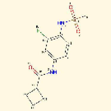 CS(=O)(=O)Nc1ccc(NC(=O)C2CCC2)cc1F